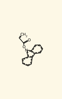 C=CC(=O)On1c2ccccc2c2ccccc21